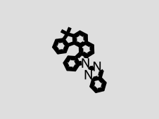 CC1(C)c2ccccc2-c2c1ccc1ccc3c(c4ccccc4n3-c3ncc4ccccc4n3)c21